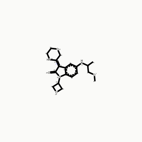 COCC(C)Nc1ccc2c(c1)/C(=C1\COCCN1)C(=O)N2C1COC1